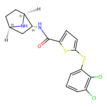 O=C(N[C@@H]1C[C@H]2CC[C@@H]1N2)c1ccc(Sc2cccc(Cl)c2Cl)s1